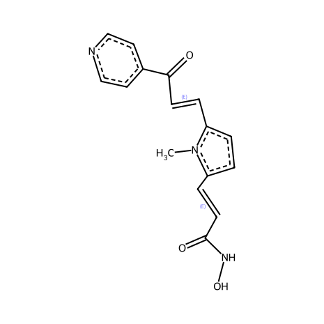 Cn1c(/C=C/C(=O)NO)ccc1/C=C/C(=O)c1ccncc1